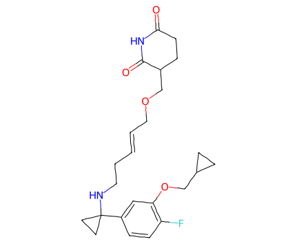 O=C1CCC(COC/C=C/CCNC2(c3ccc(F)c(OCC4CC4)c3)CC2)C(=O)N1